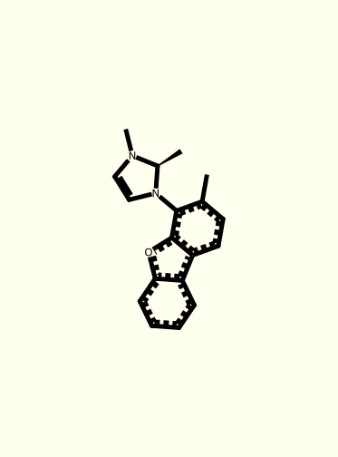 Cc1ccc2c(oc3ccccc32)c1N1C=CN(C)[C@H]1C